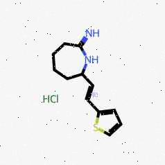 Cl.N=C1CCCCC(/C=C/c2cccs2)N1